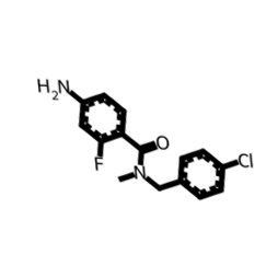 CN(Cc1ccc(Cl)cc1)C(=O)c1ccc(N)cc1F